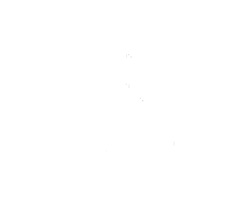 CC(C)Nc1ccc(N(CCc2ccc(OC(C)(C)C(=O)O)cc2)Cc2ccc(C(F)(F)F)cc2)nc1